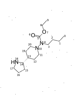 CCCCN(C(=O)OCC)N1CCC([C@@H]2CCCN2)CC1